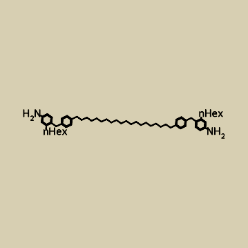 CCCCCCc1cc(N)ccc1Cc1ccc(CCCCCCCCCCCCCCCCCCCCc2ccc(Cc3ccc(N)cc3CCCCCC)cc2)cc1